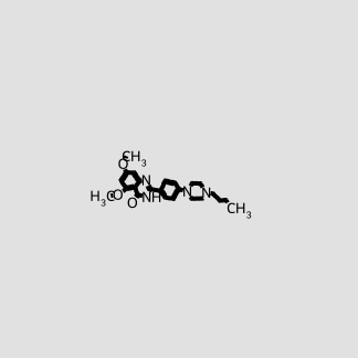 CCCCN1CCN(c2ccc(-c3nc4cc(OC)cc(OC)c4c(=O)[nH]3)cc2)CC1